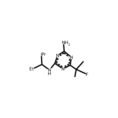 CCC(Nc1nc(N)nc(C(C)(C)F)n1)C(C)C